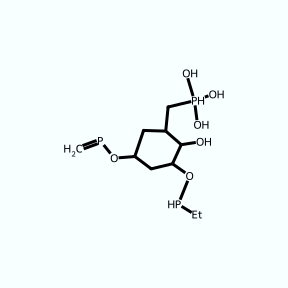 C=POC1CC(C[PH](O)(O)O)C(O)C(OPCC)C1